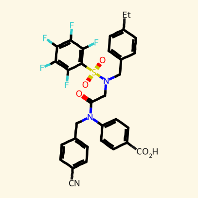 CCc1ccc(CN(CC(=O)N(Cc2ccc(C#N)cc2)c2ccc(C(=O)O)cc2)S(=O)(=O)c2c(F)c(F)c(F)c(F)c2F)cc1